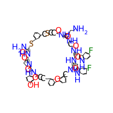 C[C@@]12CCCN1C(=O)C(Cc1ccc(O)cc1)NC(=O)CCCc1cccc3c1oc1c(cccc13)CCNC(=O)[C@H](Cc1c[nH]c3ccc(F)cc13)NC(=O)[C@@H](Cc1c[nH]c3ccc(F)cc13)NC(=O)CNC(=O)[C@H](CCCCN)NC(=O)CCSCc1cccc(c1)CSC[C@H](C(N)=O)NC2=O